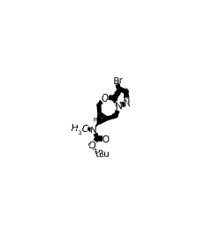 CN(C(=O)OC(C)(C)C)[C@H]1C2COc3c(Br)cnn3CC21